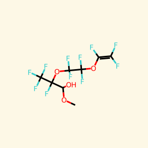 COC(O)C(F)(OC(F)(F)C(F)(F)OC(F)=C(F)F)C(F)(F)F